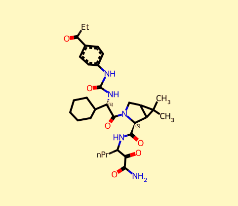 CCCC(NC(=O)[C@@H]1C2C(CN1C(=O)[C@@H](NC(=O)Nc1ccc(C(=O)CC)cc1)C1CCCCC1)C2(C)C)C(=O)C(N)=O